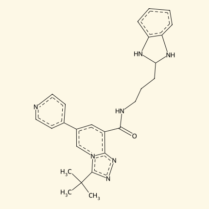 CC(C)(C)c1nnc2c(C(=O)NCCCC3Nc4ccccc4N3)cc(-c3ccncc3)cn12